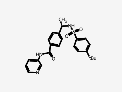 C[C@@H](NS(=O)(=O)c1ccc(C(C)(C)C)cc1)c1ccc(C(=O)Nc2cccnc2)cc1